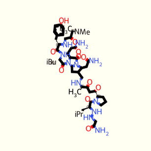 CC[C@H](C)C(NC(=O)[C@H](Cc1ccc(O)cc1)NCC(=O)[C@H](C)NC)C(=O)N1C(CCC(N)=O)C(=O)N2C(CC(N)=O)C(CN[C@@H](C)C(=O)CC(=O)[C@@H]3CCCN3C(=O)[C@H](CC(C)C)NNCC(N)=O)CC12